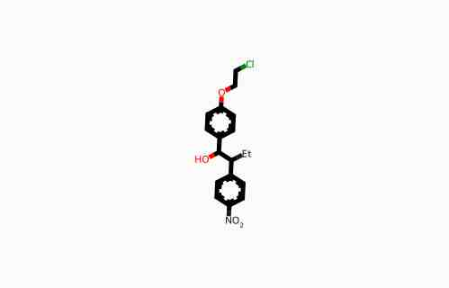 CCC(c1ccc([N+](=O)[O-])cc1)C(O)c1ccc(OCCCl)cc1